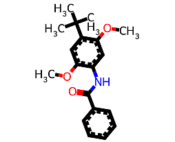 COc1cc(C(C)(C)C)c(OC)cc1NC(=O)c1ccccc1